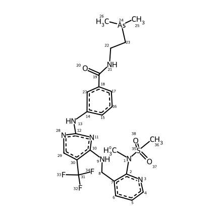 CN(c1ncccc1CNc1nc(Nc2cccc(C(=O)NCC[As](C)C)c2)ncc1C(F)(F)F)S(C)(=O)=O